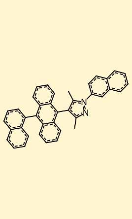 Cc1nn(-c2ccc3ccccc3c2)c(C)c1-c1c2ccccc2c(-c2cccc3ccccc23)c2ccccc12